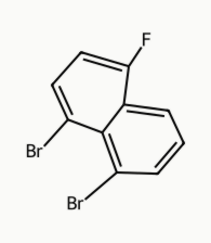 Fc1ccc(Br)c2c(Br)cccc12